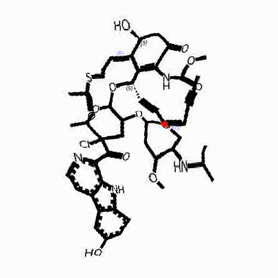 CC#C/C=C\C#C[C@H](OC1OC(C)C(Cl)(C(=O)c2nccc3c2[nH]c2ccc(O)cc23)CC1OC1CC(OC)C(NC(C)C)CO1)C1=C(NC(=O)OC)C(=O)C[C@H](O)/C1=C/CSC(C)=O